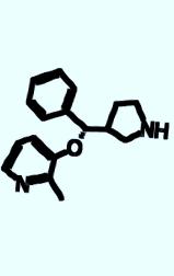 Cc1ncccc1O[C@H](c1ccccc1)C1CCNC1